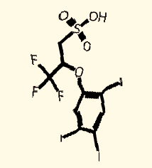 O=S(=O)(O)CC(Oc1cc(I)c(I)cc1I)C(F)(F)F